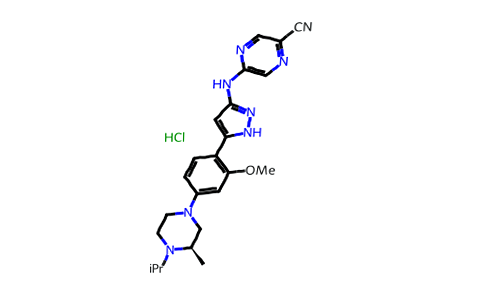 COc1cc(N2CCN(C(C)C)[C@H](C)C2)ccc1-c1cc(Nc2cnc(C#N)cn2)n[nH]1.Cl